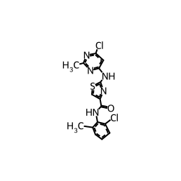 Cc1nc(Cl)cc(Nc2nc(C(=O)Nc3c(C)cccc3Cl)cs2)n1